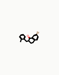 Cc1ccccc1CC1CCc2ccc(Br)cc2C1=O